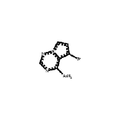 [AsH2]c1ncnn2ccc(Br)c12